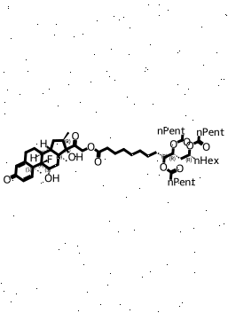 CCCCCC[C@H](C[C@@H](OC(=O)CCCCC)[C@@H](CCCCCCCC(=O)OCC(=O)[C@@]1(O)[C@H](C)C[C@H]2[C@@H]3CCC4=CC(=O)C=C[C@]4(C)[C@@]3(F)[C@@H](O)C[C@@]21C)OC(=O)CCCCC)OC(=O)CCCCC